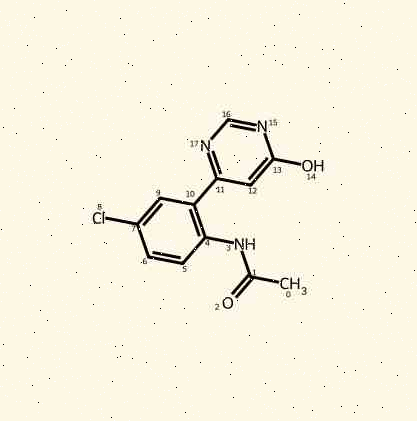 CC(=O)Nc1ccc(Cl)cc1-c1cc(O)ncn1